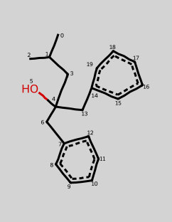 CC(C)[CH]C(O)(Cc1ccccc1)Cc1ccccc1